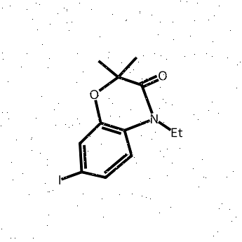 CCN1C(=O)C(C)(C)Oc2cc(I)ccc21